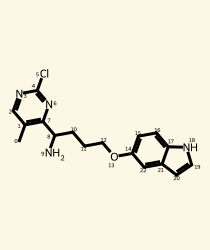 Cc1cnc(Cl)nc1C(N)CCCOc1ccc2[nH]ccc2c1